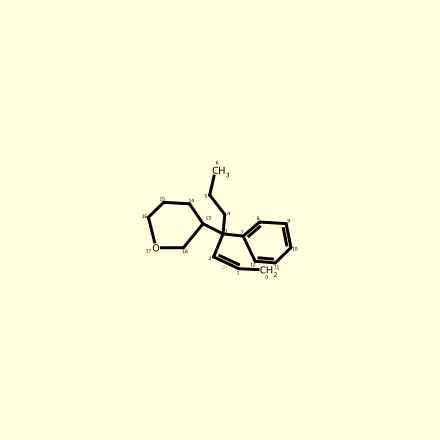 [CH2]/C=C\C(CCC)(c1ccccc1)C1CCCOC1